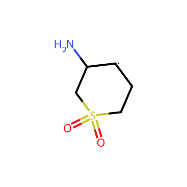 NC1[CH]CCS(=O)(=O)C1